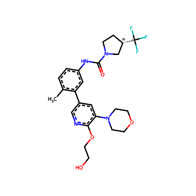 Cc1ccc(NC(=O)N2CC[C@H](C(F)(F)F)C2)cc1-c1cnc(OCCO)c(N2CCOCC2)c1